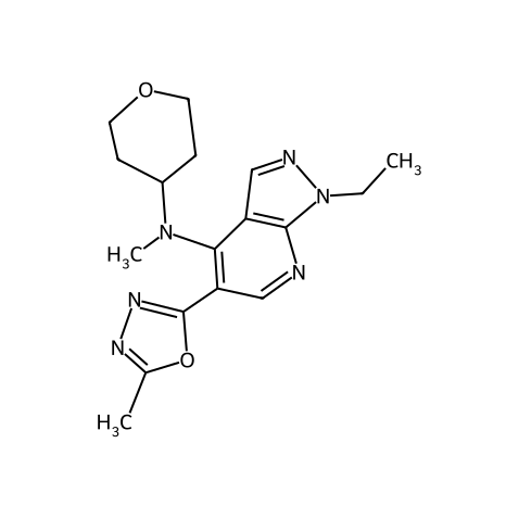 CCn1ncc2c(N(C)C3CCOCC3)c(-c3nnc(C)o3)cnc21